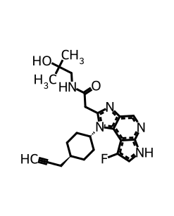 C#CC[C@H]1CC[C@H](n2c(CC(=O)NCC(C)(C)O)nc3cnc4[nH]cc(F)c4c32)CC1